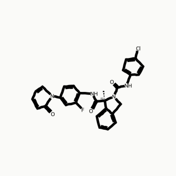 C[C@@]1(C(=O)Nc2ccc(-n3ccccc3=O)cc2F)c2ccccc2CN1C(=O)Nc1ccc(Cl)cc1